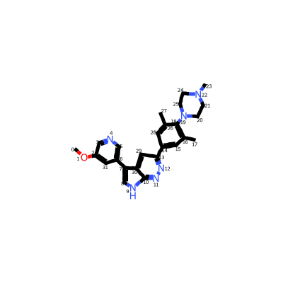 COc1cncc(-c2c[nH]c3nnc(-c4cc(C)c(N5CCN(C)CC5)c(C)c4)cc23)c1